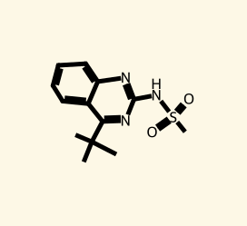 CC(C)(C)c1nc(NS(C)(=O)=O)nc2ccccc12